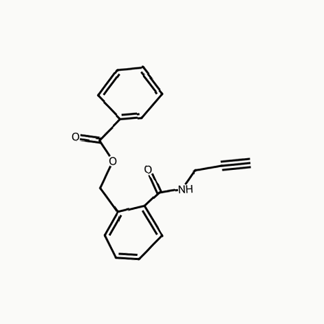 C#CCNC(=O)c1ccccc1COC(=O)c1ccccc1